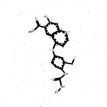 CCNC(=O)Nc1ccc(Oc2ccnc3cc(O)c(C(=O)NC)cc23)cc1CI